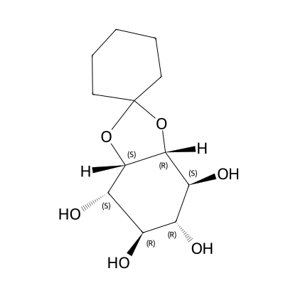 O[C@@H]1[C@@H](O)[C@H](O)[C@@H]2OC3(CCCCC3)O[C@@H]2[C@H]1O